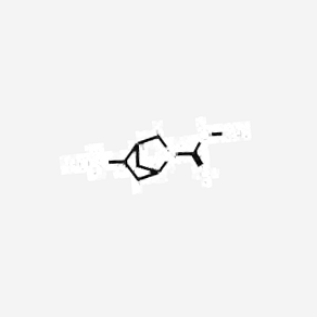 CC(C)(C)OC(=O)N1CC2CC1CC2C(=O)O